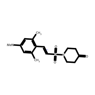 CNc1cc(C)c(/C=C/S(=O)(=O)N2CCC(=O)CC2)c(C)c1